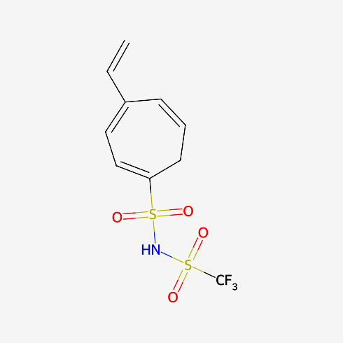 C=CC1=CC=C(S(=O)(=O)NS(=O)(=O)C(F)(F)F)CC=C1